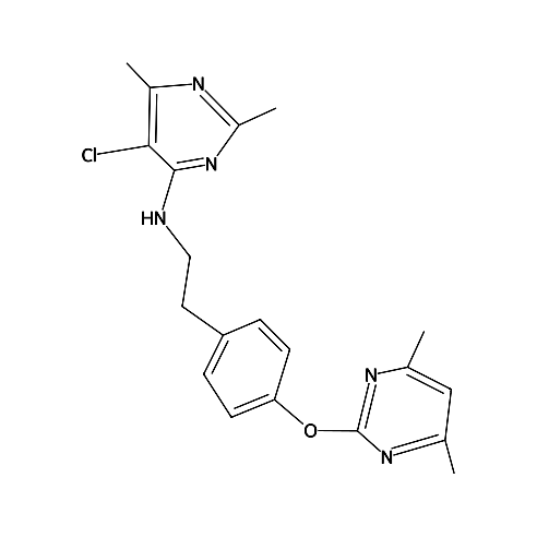 Cc1cc(C)nc(Oc2ccc(CCNc3nc(C)nc(C)c3Cl)cc2)n1